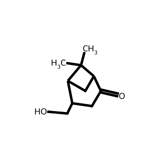 CC1(C)C2CC1C(CO)CC2=O